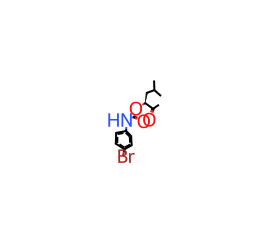 CC(=O)[C@H](CC(C)C)OC(=O)Nc1ccc(Br)cc1